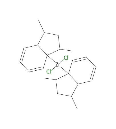 CC1CC(C)[C]2([Zr]([Cl])([Cl])[C]34C=CC=CC3C(C)CC4C)C=CC=CC12